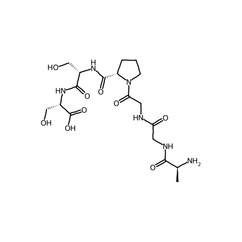 C[C@H](N)C(=O)NCC(=O)NCC(=O)N1CCC[C@H]1C(=O)N[C@@H](CO)C(=O)N[C@@H](CO)C(=O)O